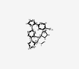 CC[C@@H]1c2nncn2-c2cnc(-n3ccnc3-c3ccc(F)cn3)nc2N1C1CCCC1